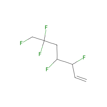 C=CC(F)C(F)CC(F)(F)CF